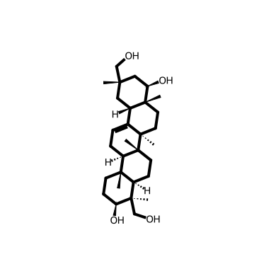 C[C@@]1(CO)C[C@@H](O)[C@]2(C)CC[C@]3(C)C(=CC[C@@H]4[C@@]5(C)CC[C@H](O)[C@](C)(CO)[C@@H]5CC[C@]43C)[C@@H]2C1